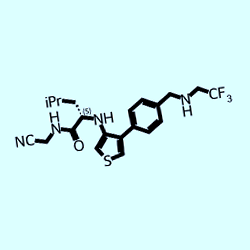 CC(C)C[C@H](Nc1cscc1-c1ccc(CNCC(F)(F)F)cc1)C(=O)NCC#N